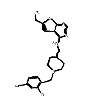 FC(F)(F)Cc1cc2c(NCC3CCN(Cc4ccc(Cl)cc4Cl)CC3)ncnc2s1